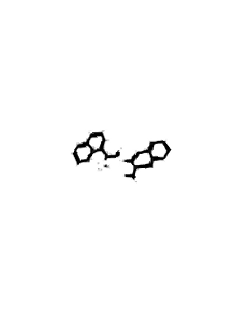 O=C(O)c1cc2ccccc2cc1NC(=O)C(c1cccc2ccccc12)P(=O)(O)O